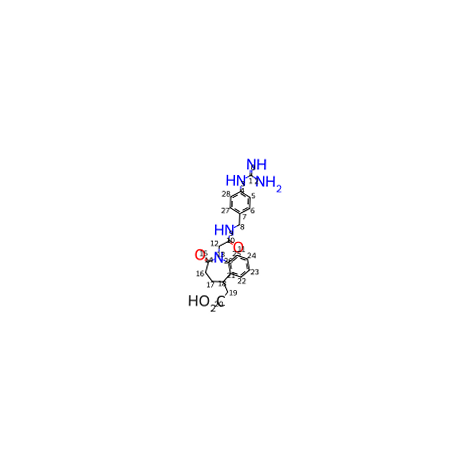 N=C(N)Nc1ccc(CNC(=O)CN2C(=O)CCC(CC(=O)O)c3ccccc32)cc1